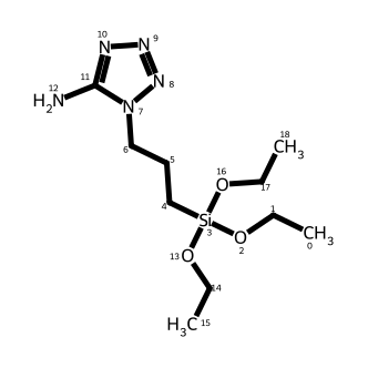 CCO[Si](CCCn1nnnc1N)(OCC)OCC